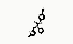 Cc1ccc(CN(C(=O)Nc2ccc(C#N)nc2)C2CCCC2)o1